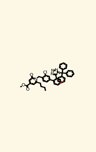 CCCCc1cc(C(=O)OC)cc(=O)n1Cc1ccc(-c2ccccc2-c2nnnn2C(c2ccccc2)(c2ccccc2)c2ccccc2)cc1Cl